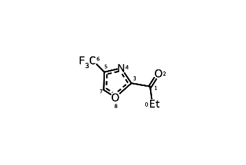 CCC(=O)c1nc(C(F)(F)F)co1